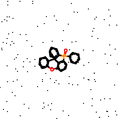 CC1(C)c2ccccc2Oc2cccc(P(=O)(c3ccccc3)c3ccccc3)c21